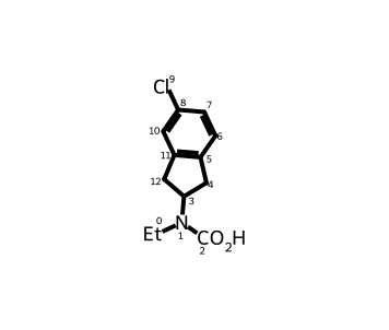 CCN(C(=O)O)C1Cc2ccc(Cl)cc2C1